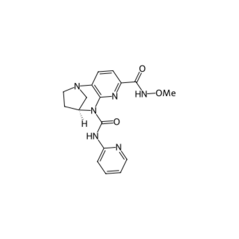 CONC(=O)c1ccc2c(n1)N(C(=O)Nc1ccccn1)[C@H]1CCN2C1